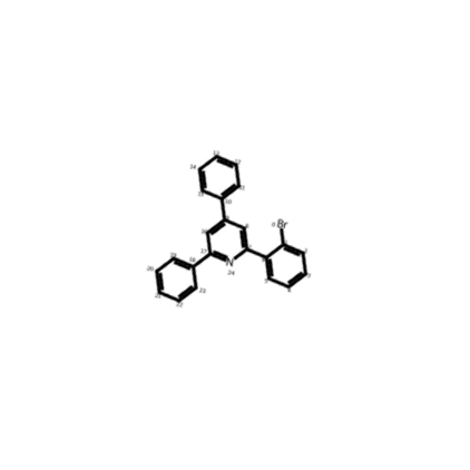 Brc1ccccc1-c1cc(-c2ccccc2)cc(-c2ccccc2)n1